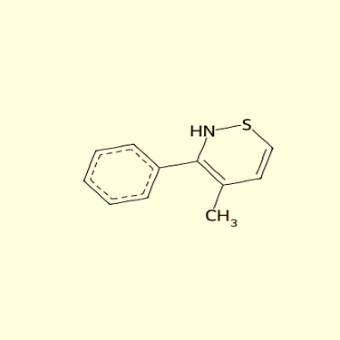 CC1=C(c2ccccc2)NSC=C1